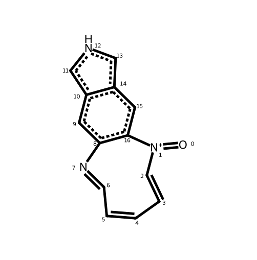 O=[N+]1/C=C/C=C\C=N\c2cc3c[nH]cc3cc21